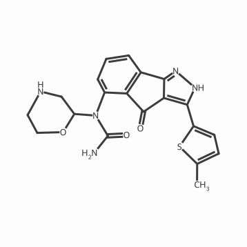 Cc1ccc(-c2[nH]nc3c2C(=O)c2c-3cccc2N(C(N)=O)C2CNCCO2)s1